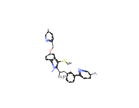 CCOC(=O)C(Cc1cccc(-c2ccc(C(F)(F)F)cn2)c1)c1c(SC(C)(C)C)c2cc(OCc3ccc(C)cn3)ccc2n1C